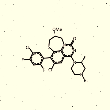 CCN1CCN(c2nc(=O)n3c4c(c(-c5cc(Cl)c(F)cc5F)c(Cl)cc24)SC[C@H](OC)C3)[C@@H](C)C1